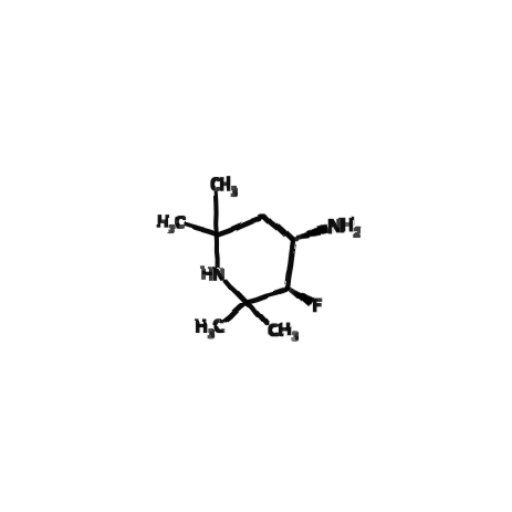 CC1(C)C[C@@H](N)[C@@H](F)C(C)(C)N1